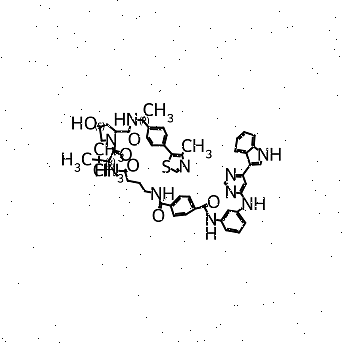 Cc1ncsc1-c1ccc([C@@H](C)NC(=O)C2C[C@H](O)CN2C(=O)[C@H](NC(=O)CCCNC(=O)c2ccc(C(=O)Nc3cccc(Nc4cc(-c5c[nH]c6ccccc56)ncn4)c3)cc2)C(C)(C)C)cc1